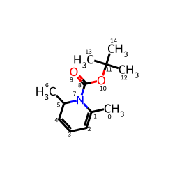 CC1=CC=CC(C)N1C(=O)OC(C)(C)C